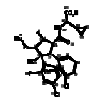 CN1[C@@H](CC(C)(C)C)[C@](C#N)(c2ccc(Cl)cc2F)[C@@H](c2cccc(Cl)c2F)[C@@H]1C(=O)N[C@@H](C(=O)O)C1CC1